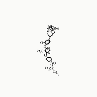 Cc1c(Oc2ccc(C3COS(O)(O)OC3)cc2Cl)ncnc1OC1CCN(C(=O)OCC(C)C)CC1